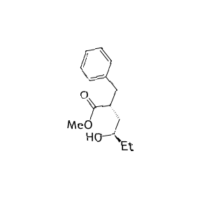 CC[C@@H](O)C[C@@H](Cc1ccccc1)C(=O)OC